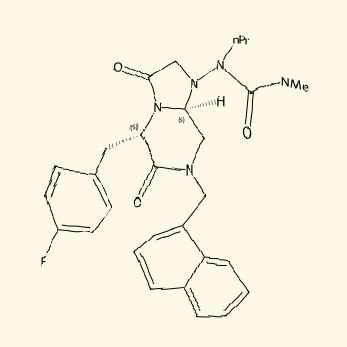 CCCN(C(=O)NC)N1CC(=O)N2[C@@H](Cc3ccc(F)cc3)C(=O)N(Cc3cccc4ccccc34)C[C@@H]21